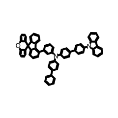 c1ccc(-c2ccc(N(c3ccc(-c4ccc(-n5c6ccccc6c6ccccc65)cc4)cc3)c3cccc(-c4cccc5c4-c4ccccc4C54c5ccccc5Oc5ccccc54)c3)cc2)cc1